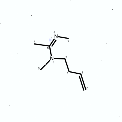 C=CCCN(C)/C(C)=N\C